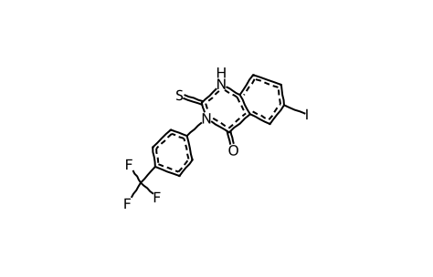 O=c1c2cc(I)ccc2[nH]c(=S)n1-c1ccc(C(F)(F)F)cc1